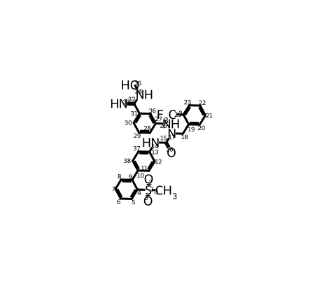 CS(=O)(=O)c1ccccc1-c1ccc(NC(=O)N(Cc2ccccc2C(F)(F)F)Nc2cccc(C(=N)NO)c2)cc1